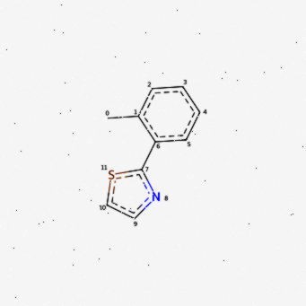 Cc1ccccc1-c1nccs1